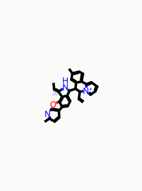 C=CC1C(C2N/C(=C\C)c3c2ccc2c3oc3nc(C)ccc32)c2cc(C)ccc2-c2cccc[n+]21